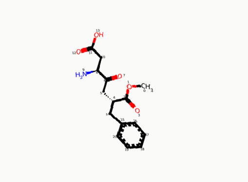 COC(=O)[C@@H](CC(=O)[C@@H](N)CC(=O)O)Cc1ccccc1